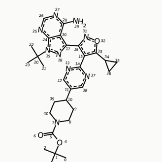 CC(C)(C)OC(=O)N1CCC(c2cnc(-c3c(-c4nn(C(C)(C)C)c5ncnc(N)c45)noc3C3CC3)nc2)CC1